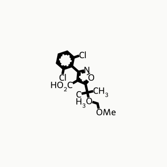 COCOC(C)(C)c1onc(-c2c(Cl)cccc2Cl)c1C(=O)O